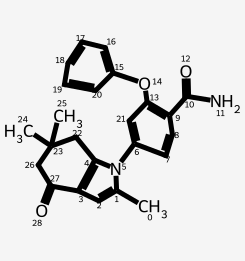 Cc1cc2c(n1-c1ccc(C(N)=O)c(Oc3ccccc3)c1)CC(C)(C)CC2=O